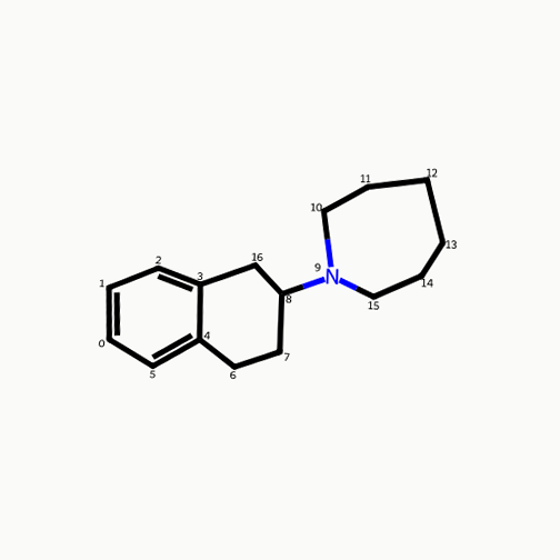 c1ccc2c(c1)CCC(N1CCCCCC1)C2